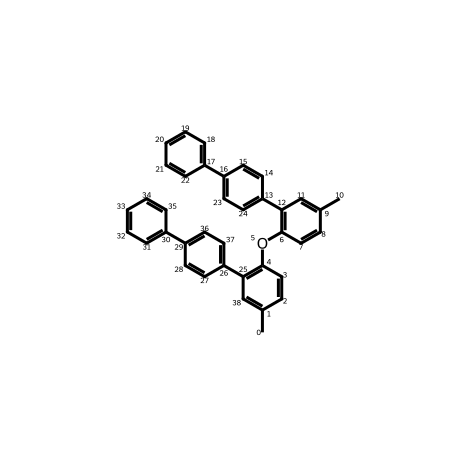 Cc1ccc(Oc2ccc(C)cc2-c2ccc(-c3ccccc3)cc2)c(-c2ccc(-c3ccccc3)cc2)c1